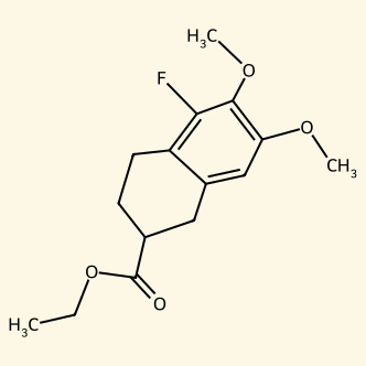 CCOC(=O)C1CCc2c(cc(OC)c(OC)c2F)C1